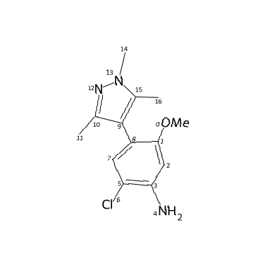 COc1cc(N)c(Cl)cc1-c1c(C)nn(C)c1C